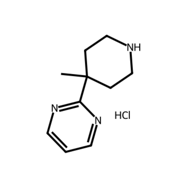 CC1(c2ncccn2)CCNCC1.Cl